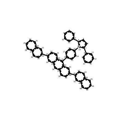 c1ccc(-c2ccc(-c3ccccc3)n2-c2ccc(-c3c4ccc(-c5ccc6ccccc6c5)cc4cc4ccc(-c5ccc6ccccc6c5)cc34)cc2)cc1